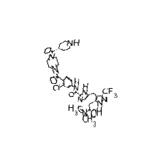 CN(C)C(=O)Cc1[nH]nc(C(F)(F)F)c1Cc1cnc(C(=O)Nc2ccc(C(=O)N3CCN(C(=O)C4CCNCC4)CC3)c(Cl)c2)[nH]1